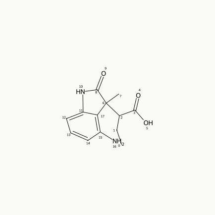 CCC(C(=O)O)C1(C)C(=O)Nc2cccc(N)c21